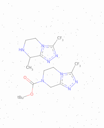 CC(C)(C)OC(=O)N1CCn2c(nnc2C(F)(F)F)C1.CC1NCCn2c1nnc2C(F)(F)F